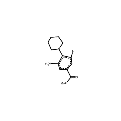 COC(=O)c1cc(N)c(N2CCCCC2)c(Br)c1